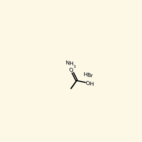 Br.CC(=O)O.N